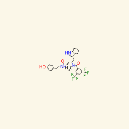 CN(C(=O)c1cc(C(F)(F)F)cc(C(F)(F)F)c1)C(C=CC(=O)NCCc1ccc(O)cc1)Cc1c[nH]c2ccccc12